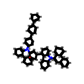 C1=CC(N(c2ccc(-c3ccc(-c4ccccc4)cc3)cc2)c2ccccc2-c2ccccc2)=CC(c2cccc3c2c2ccccc2n3-c2cc3ccccc3c3ccccc23)C1